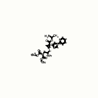 CCC[C@H](C[C@@H]1C[C@@]1(C(=O)O[C@H](C)P)c1cn(-c2ccccn2)cn1)CN(C(=O)OC(C)(C)C)C(=O)OC(C)(C)C